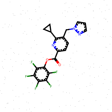 O=C(Oc1c(F)c(F)c(F)c(F)c1F)c1ccc(Cn2cccn2)c(C2CC2)n1